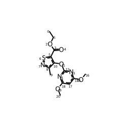 CCOC(=O)c1snc(C)c1Oc1nc(OC)cc(OC)n1